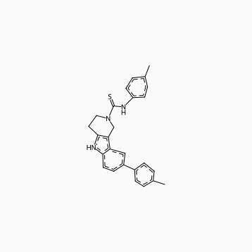 Cc1ccc(NC(=S)N2CCc3[nH]c4ccc(-c5ccc(C)cc5)cc4c3C2)cc1